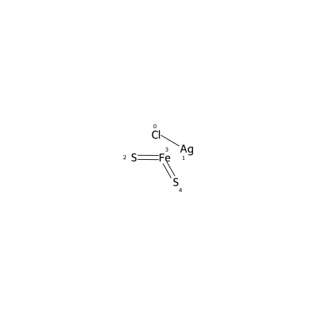 [Cl][Ag].[S]=[Fe]=[S]